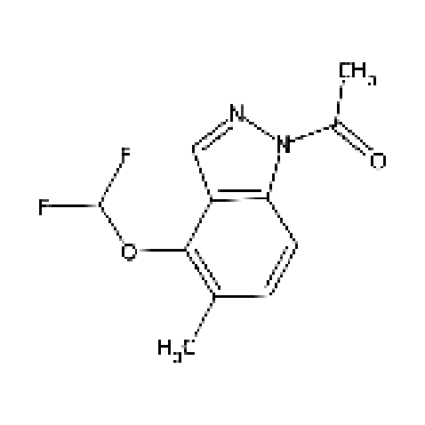 CC(=O)n1ncc2c(OC(F)F)c(C)ccc21